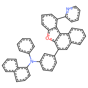 c1ccc(N(c2cccc(-c3cc4ccccc4c4c3oc3cccc(-c5ccccn5)c34)c2)c2cccc3ccccc23)cc1